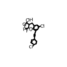 O=C(O)C1Cc2cc(Cl)cc(C#Cc3ccc(Cl)cc3)c2OC1C(F)(F)F